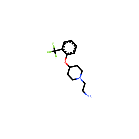 NCCN1CCC(Oc2ccccc2C(F)(F)F)CC1